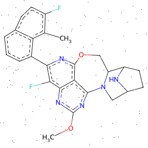 COc1nc2c3c(nc(-c4cccc5ccc(F)c(C)c45)c(F)c3n1)OCC1C3CCC(CN21)N3